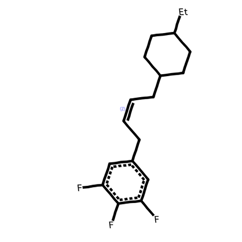 CCC1CCC(C/C=C\Cc2cc(F)c(F)c(F)c2)CC1